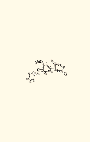 COc1cc(-c2nc(Cl)nnc2C)ccc1OCc1ccccc1